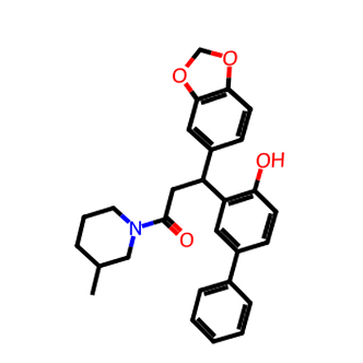 CC1CCCN(C(=O)CC(c2ccc3c(c2)OCO3)c2cc(-c3ccccc3)ccc2O)C1